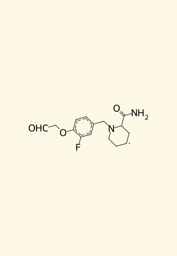 NC(=O)C1C[CH]CCN1Cc1ccc(OCC=O)c(F)c1